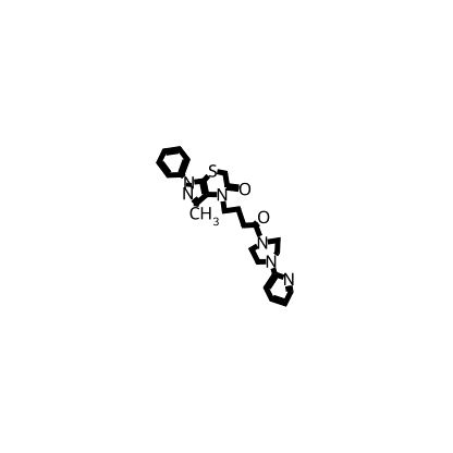 Cc1nn(-c2ccccc2)c2c1N(CCCC(=O)N1CCN(c3ccccn3)CC1)C(=O)CS2